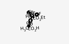 CCOC(=O)C1=C(C2CCN(S(=O)(=O)[C@H]3C[C@](C)(C(=O)O)C3)CC2)NC(c2nccs2)=N[C@H]1c1ccc(F)cc1Br